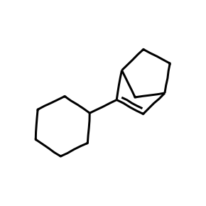 C1=C(C2CCCCC2)C2CCC1C2